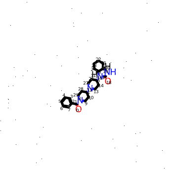 O=C(c1ccccc1)N1CCC(N2CCC(N3C(=O)N[C@@H]4CCCC[C@H]43)CC2)CC1